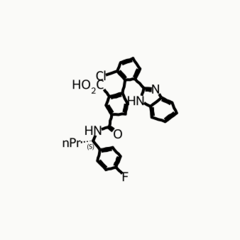 CCC[C@H](NC(=O)c1ccc(-c2c(Cl)cccc2-c2nc3ccccc3[nH]2)c(C(=O)O)c1)c1ccc(F)cc1